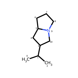 CC(C)C1CC2CCCN2C1